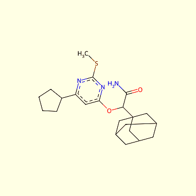 CSc1nc(OC(C(N)=O)C23CC4CC(CC(C4)C2)C3)cc(C2CCCC2)n1